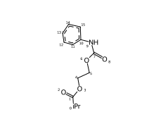 CC(C)C(=O)OCCOC(=O)Nc1cc[c]cc1